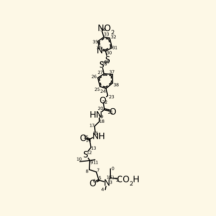 C[C@@H](C(=O)O)N(C)C(=O)CCC(C)(C)SCC(=O)NCCNC(=O)OCc1ccc(SSc2ccc([N+](=O)[O-])cn2)cc1